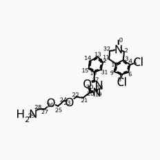 CN1Cc2c(Cl)cc(Cl)cc2[C@H](c2cccc(-c3nnc(CCOCCOCCN)o3)c2)C1